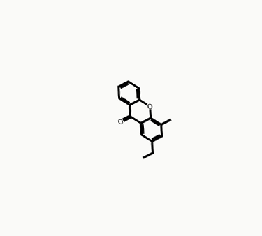 CCc1cc(C)c2oc3ccccc3c(=O)c2c1